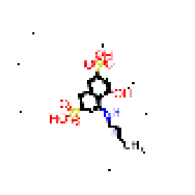 C/C=C/CNc1cc(S(=O)(=O)O)cc2cc(S(=O)(=O)O)cc(O)c12